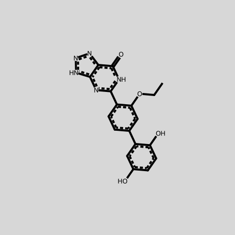 CCOc1cc(-c2cc(O)ccc2O)ccc1-c1nc2[nH]nnc2c(=O)[nH]1